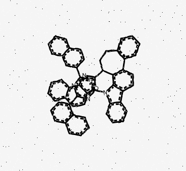 c1ccc2c(c1)CCC(c1nc3c(ccc4ccccc43)o1)c1c-2ccc2c3ccccc3n(-c3nc(-c4ccc5ccccc5c4)nc(-c4cccc5ccccc45)n3)c12